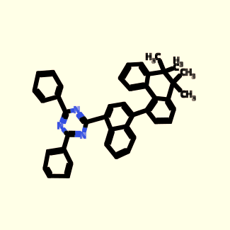 CC1(C)c2ccccc2-c2c(-c3ccc(-c4nc(-c5ccccc5)nc(-c5ccccc5)n4)c4ccccc34)cccc2C1(C)C